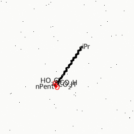 CCCCCC(=O)OC(CC(=O)O)(C(=O)O)C(CCCCCCCCCCCCCCCCCCCC(C)C)C(=O)O